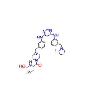 CC(C)C[C@H](NCO)C(=O)N1CCN(Cc2cccc(Nc3cc(Nc4cccc(CN5CCC[C@@H]5I)c4)ncn3)c2)CC1